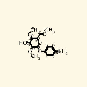 COC[C@H]1O[C@@H](Oc2ccc(N)cc2)[C@H](OC)[C@@H](O)[C@H]1OC